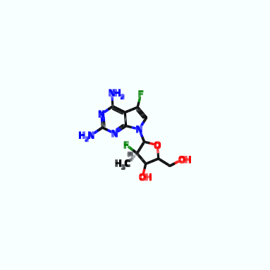 C[C@@]1(F)C(O)C(CO)OC1n1cc(F)c2c(N)nc(N)nc21